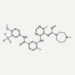 C=N/C(=N\c1c(C)ncnc1Nc1cc(C(=O)Nc2ccc(OC)c(C(F)(F)F)c2)ccc1C)N1CCCN(C)CC1